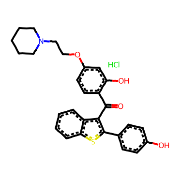 Cl.O=C(c1ccc(OCCN2CCCCC2)cc1O)c1c(-c2ccc(O)cc2)sc2ccccc12